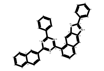 c1ccc(-c2nc(-c3ccc4ccccc4c3)nc(-c3cccc4cc5nc(-c6ccccc6)sc5cc34)n2)cc1